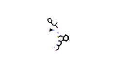 CN1C(=O)Cc2cc(-c3ccccc3-c3csc(N(C(=O)C(CC(=O)O)CC4CCCC4)C4CC4)n3)cnc21